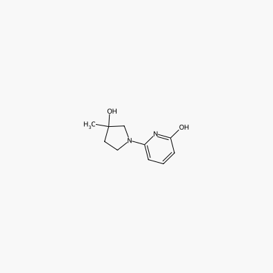 CC1(O)CCN(c2cccc(O)n2)C1